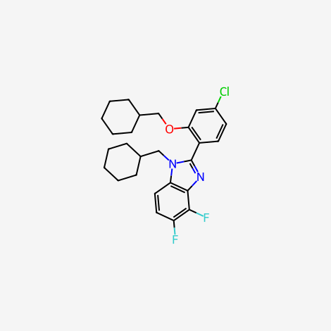 Fc1ccc2c(nc(-c3ccc(Cl)cc3OCC3CCCCC3)n2CC2CCCCC2)c1F